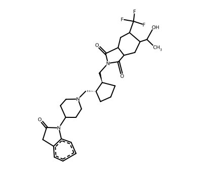 CC(O)C1CC2C(=O)N(C[C@H]3CCC[C@@H]3CN3CCC(N4C(=O)Cc5ccccc54)CC3)C(=O)C2CC1C(F)(F)F